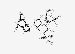 COP(=O)(O[C@H]1O[C@@H](n2cnc3c(=O)nc(N)[nH]c32)[C@H](O)[C@H]1O[PH](=O)OP(=O)(O)OO)OP(=O)(O)O